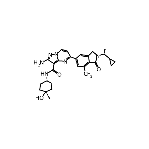 C[C@@H](C1CC1)N1Cc2cc(-c3ccn4nc(N)c(C(=O)N[C@H]5CC[C@@](C)(O)CC5)c4n3)cc(C(F)(F)F)c2C1=O